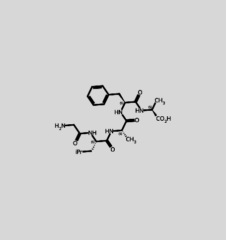 CC(C)C[C@H](NC(=O)CN)C(=O)N[C@@H](C)C(=O)N[C@@H](Cc1ccccc1)C(=O)N[C@@H](C)C(=O)O